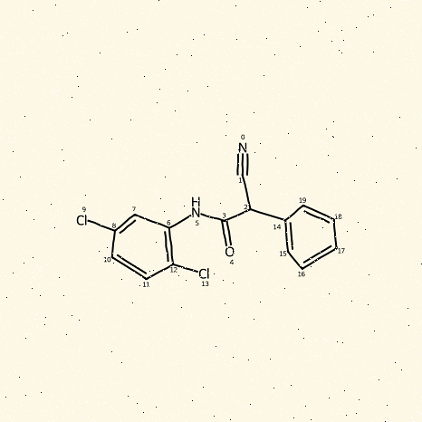 N#CC(C(=O)Nc1cc(Cl)ccc1Cl)c1ccccc1